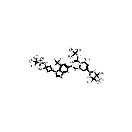 C[C@H]1C=C(B2OC(C)(C)C(C)(C)O2)C[C@@H](COc2cc(C(F)(F)F)c3c(c2)ncn3C2CC(C)(O[Si](C)(C)C(C)(C)C)C2)N1C(=O)OC(C)(C)C